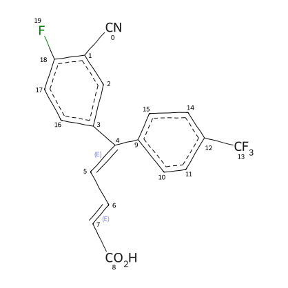 N#Cc1cc(/C(=C/C=C/C(=O)O)c2ccc(C(F)(F)F)cc2)ccc1F